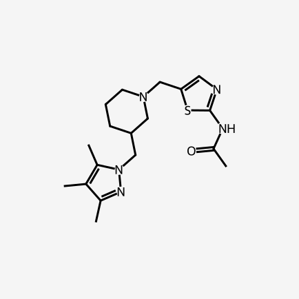 CC(=O)Nc1ncc(CN2CCCC(Cn3nc(C)c(C)c3C)C2)s1